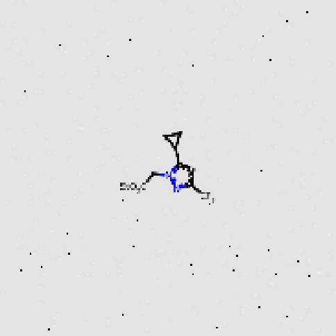 CCOC(=O)Cn1nc(C(F)(F)F)cc1C1CC1